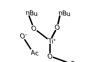 CC(=O)[O-].CCCC[O][Ti+]([O]CCCC)[O]CCCC